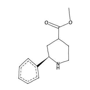 COC(=O)C1CCN[C@@H](c2ccccc2)C1